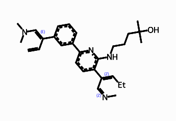 C=C/C(=C\N(C)C)c1cccc(-c2ccc(C(/C=N\C)=C/CC)c(NCCCC(C)(C)O)n2)c1